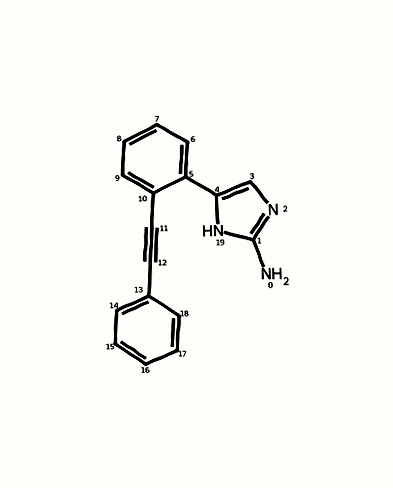 Nc1ncc(-c2ccccc2C#Cc2ccccc2)[nH]1